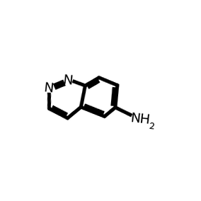 Nc1ccc2nnccc2c1